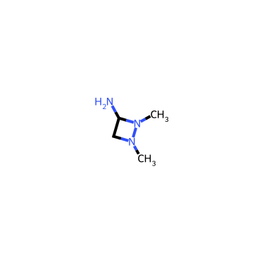 CN1CC(N)N1C